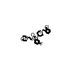 O=c1n(CCN2CCOCC2)c2ccc(F)cc2n1C1CCN(Cc2ccccc2Cl)CC1